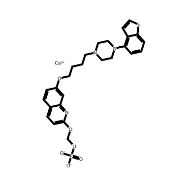 O=P([O-])([O-])OCOc1ccc2ccc(OCCCCN3CCN(c4cccc5sccc45)CC3)cc2n1.[Ca+2]